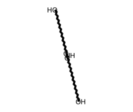 OCCCCCCCCCCCCCCCCCCCONOCCCCCCCCCCCCCCCCCCCO